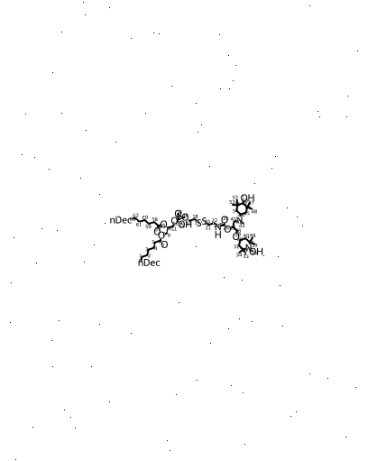 CCCCCCCCCCCCCCCC(=O)OC[C@H](COP(=O)(O)OCCSSCCNC(=O)OC(COC1CC(C)(C)N(O)C(C)(C)C1)CN(C)C1CC(C)(C)C(O)C(C)(C)C1)OC(=O)CCCCCCCCCCCCCCC